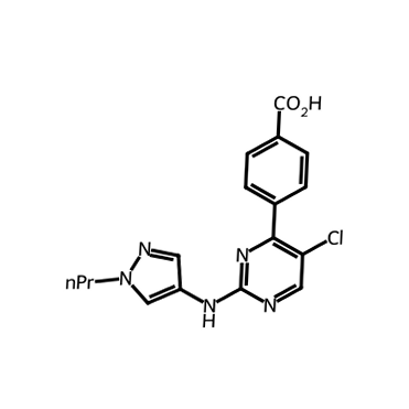 CCCn1cc(Nc2ncc(Cl)c(-c3ccc(C(=O)O)cc3)n2)cn1